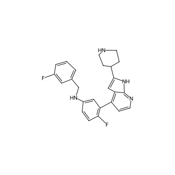 Fc1cccc(CNc2ccc(F)c(-c3ccnc4[nH]c(C5CCNCC5)cc34)c2)c1